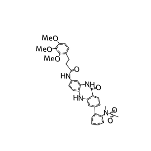 COc1ccc(CCC(=O)Nc2ccc3c(c2)NC(=O)c2ccc(-c4ccccc4N(C)S(C)(=O)=O)cc2N3)c(OC)c1OC